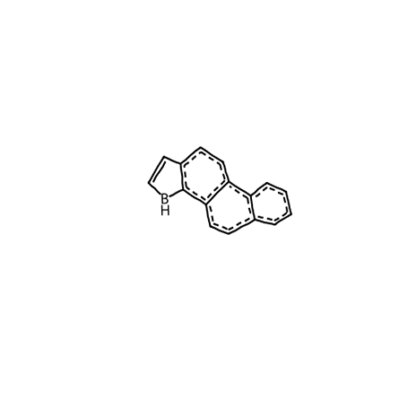 B1C=Cc2ccc3c(ccc4ccccc43)c21